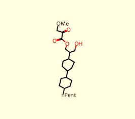 CCCCCC1CCC(C2CCC(C(CO)COC(=O)C(=O)COC)CC2)CC1